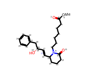 COC(=O)CCCCCCN1C(=O)CCCC1/C=C/[C@H](O)Cc1ccccc1